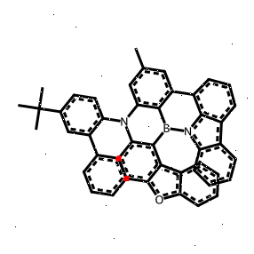 Cc1cc2c3c(c1)N(c1ccc(C(C)(C)C)cc1-c1ccccc1)c1ccc4oc5ccccc5c4c1B3n1c3ccccc3c3cccc-2c31